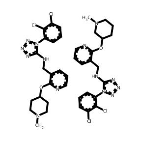 CN1CCC(Oc2ncccc2CNc2nnnn2-c2cccc(Cl)c2Cl)CC1.CN1CCCC(Oc2ncccc2CNc2nnnn2-c2cccc(Cl)c2Cl)C1